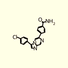 NC(=O)c1ccc(-c2cn3c(-c4ccc(Cl)cc4)cnc3cn2)cc1